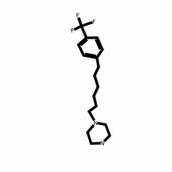 FC(F)(F)c1ccc(CCCCCCN2CC[N]CC2)cc1